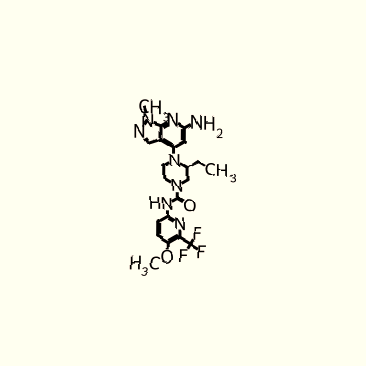 CC[C@H]1CN(C(=O)Nc2ccc(OC)c(C(F)(F)F)n2)CCN1c1cc(N)nc2c1cnn2C